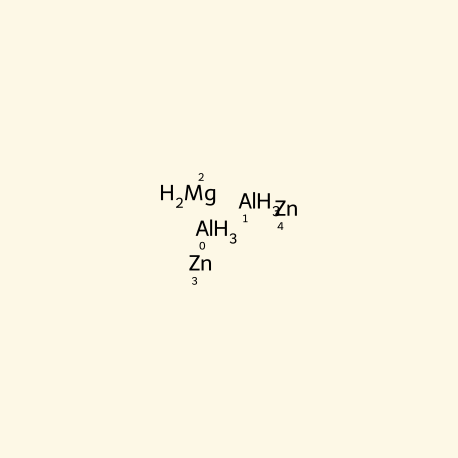 [AlH3].[AlH3].[MgH2].[Zn].[Zn]